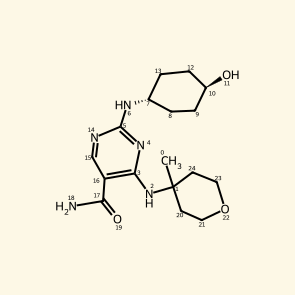 CC1(Nc2nc(N[C@H]3CC[C@H](O)CC3)ncc2C(N)=O)CCOCC1